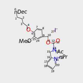 CCCCCCCCCCCCCCOc1ccc(COC(=O)N(Cc2cccc[n+]2CCC)C(C)=O)cc1OC.[I-]